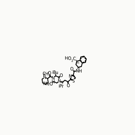 CCC(C)C(NC(=O)C1CCCCN1C)C(=O)N(CCOC)[C@H](CC(=O)c1nc(C(=O)N[C@H]2Cc3ccccc3[C@H](C(=O)O)C2)cs1)C(C)C